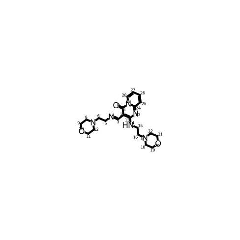 O=c1c(C=NCCN2CCOCC2)c(NCCN2CCOCC2)nc2ccccn12